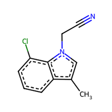 Cc1cn(CC#N)c2c(Cl)cccc12